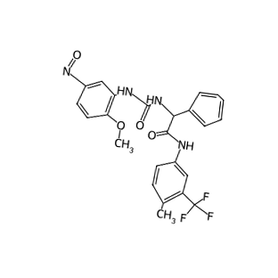 COc1ccc(N=O)cc1NC(=O)NC(C(=O)Nc1ccc(C)c(C(F)(F)F)c1)c1ccccc1